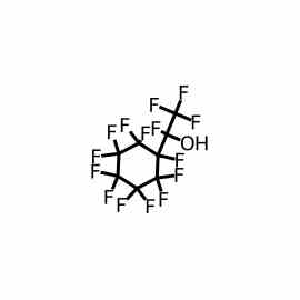 OC(F)(C(F)(F)F)C1(F)C(F)(F)C(F)(F)C(F)(F)C(F)(F)C1(F)F